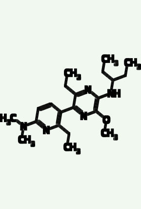 CCc1nc(N(C)C)ccc1-c1nc(OC)c(NC(CC)CC)nc1CC